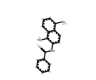 O=C(Nc1ccc2c([N+](=O)[O-])cccc2c1O)c1ccccc1